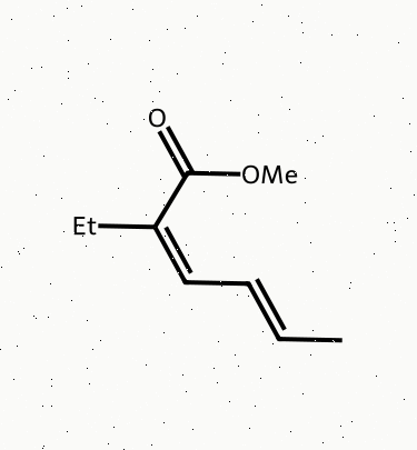 CC=CC=C(CC)C(=O)OC